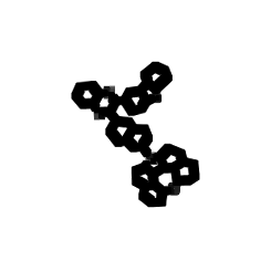 c1ccc2nc(-c3ccc4sc5ccccc5c4c3)c(-c3ccc4cc(-n5c6ccc7cccc8oc9cccc%10ccc5c(c%109)c6c78)ccc4c3)nc2c1